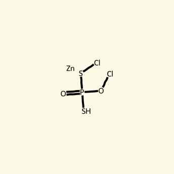 O=P(S)(OCl)SCl.[Zn]